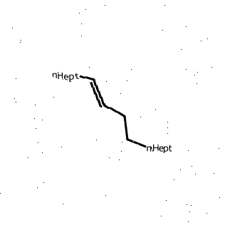 [CH2]CCCCCCC=CCCCCCCCCC